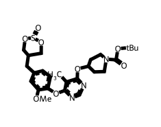 COc1cc(CC2COS(=O)OC2)ccc1Oc1ncnc(OC2CCN(C(=O)OC(C)(C)C)CC2)c1C